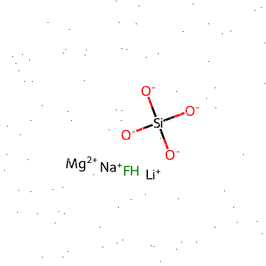 F.[Li+].[Mg+2].[Na+].[O-][Si]([O-])([O-])[O-]